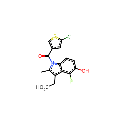 Cc1c(CC(=O)O)c2c(F)c(O)ccc2n1C(=O)c1csc(Cl)c1